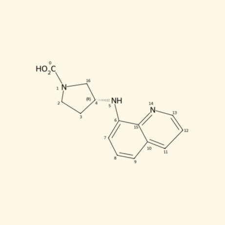 O=C(O)N1CC[C@@H](Nc2cccc3cccnc23)C1